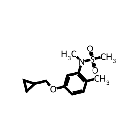 Cc1ccc(OCC2CC2)cc1N(C)S(C)(=O)=O